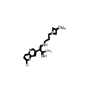 COC1CN(CCCN/C=C(\C(C)=N)c2cnc3ccc(Cl)nc3c2)C1